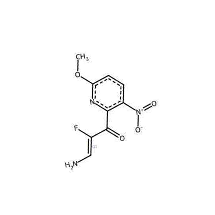 COc1ccc([N+](=O)[O-])c(C(=O)/C(F)=C/N)n1